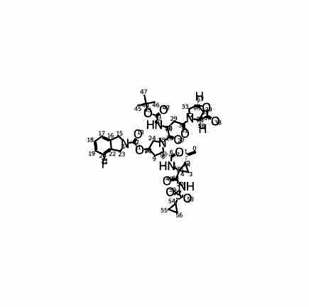 C=C[C@@H]1C[C@]1(NC(=O)[C@@H]1C[C@@H](OC(=O)N2Cc3cccc(F)c3C2)CN1C(=O)[C@H](CC(=O)N1C[C@@H]2C[C@H]1C(=O)O2)NC(=O)OC(C)(C)C)C(=O)NS(=O)(=O)C1CC1